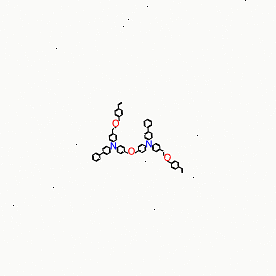 C=Cc1ccc(COCCc2ccc(N(c3ccc(COCc4ccc(N(c5ccc(CCOCc6ccc(C=C)cc6)cc5)c5ccc(-c6ccccc6)cc5)cc4)cc3)c3ccc(-c4ccccc4)cc3)cc2)cc1